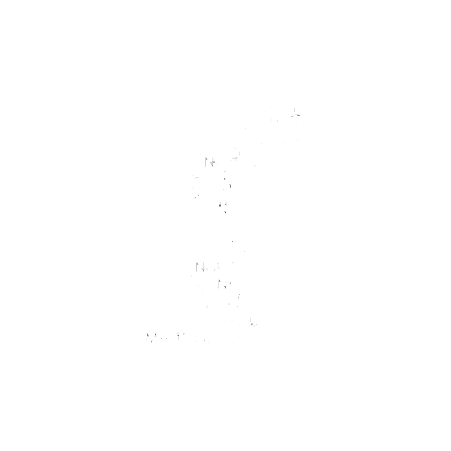 COC(=O)c1ccc2nc(C3CC34CCN(c3nc(OCc5ccc(Cl)cc5F)ncc3F)CC4)n(C[C@@H]3CCO3)c2c1